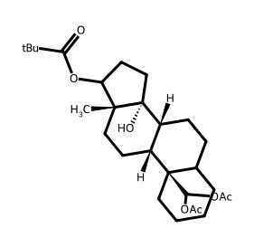 CC(=O)OC(OC(C)=O)[C@]12CCCCC1CC[C@@H]1[C@H]2CC[C@]2(C)C(OC(=O)C(C)(C)C)CC[C@@]12O